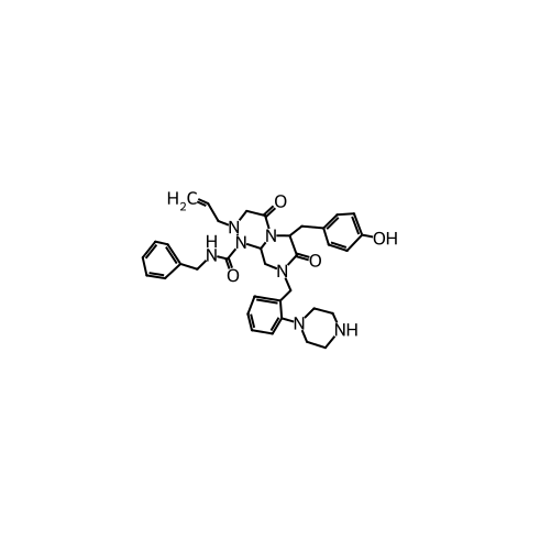 C=CCN1CC(=O)N2C(Cc3ccc(O)cc3)C(=O)N(Cc3ccccc3N3CCNCC3)CC2N1C(=O)NCc1ccccc1